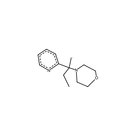 [CH2]C(CC)(c1ccccn1)N1CCOCC1